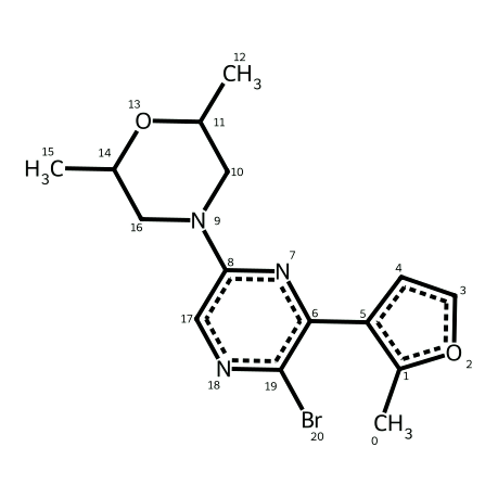 Cc1occc1-c1nc(N2CC(C)OC(C)C2)cnc1Br